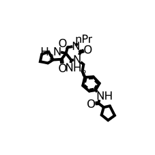 CCCN1C(=O)N(CCc2ccc(NC(=O)C3CCCC3)cc2)C(N)C(N)(C(=O)C2CCCC2)C1=O